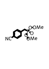 COOP(=O)(Cc1ccc(C#N)cc1)OOC